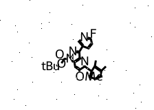 COc1cc2c(nc1-c1cccc(C)c1C)c(-c1ccc(F)nc1)nn2C(=O)OC(C)(C)C